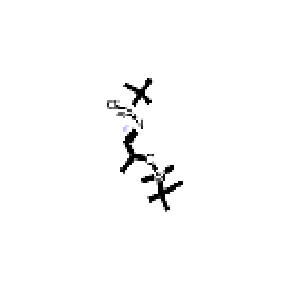 CC(/C=N/[S@@+]([O-])C(C)(C)C)O[Si](C)(C)C(C)(C)C